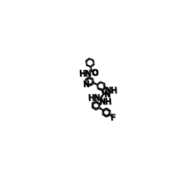 O=C(Nc1cncc(C2C=c3c(C4Nc5cccc(-c6ccc(F)cc6)c5N4)n[nH]c3=CC2)c1)C1CCCCC1